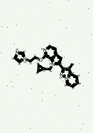 Cc1c(-c2cc3ccnc(OCCn4ccnc4)c3n2CC2CC2)nn2c[c]ccc12